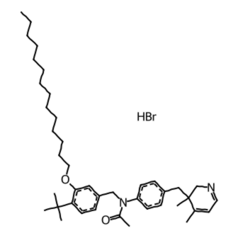 Br.CCCCCCCCCCCCCCOc1cc(CN(C(C)=O)c2ccc(CC3(C)CN=CC=C3C)cc2)ccc1C(C)(C)C